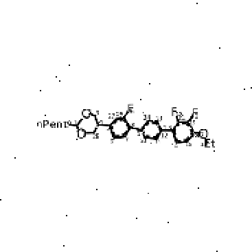 CCCCCC1OCC(c2ccc(-c3ccc(-c4ccc(OCC)c(F)c4F)cc3)c(F)c2)CO1